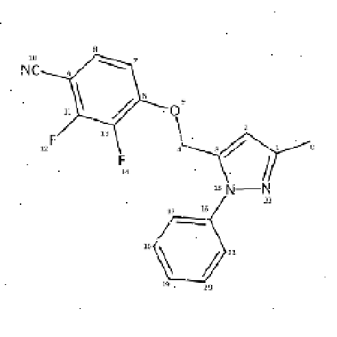 Cc1cc(COc2ccc(C#N)c(F)c2F)n(-c2ccccc2)n1